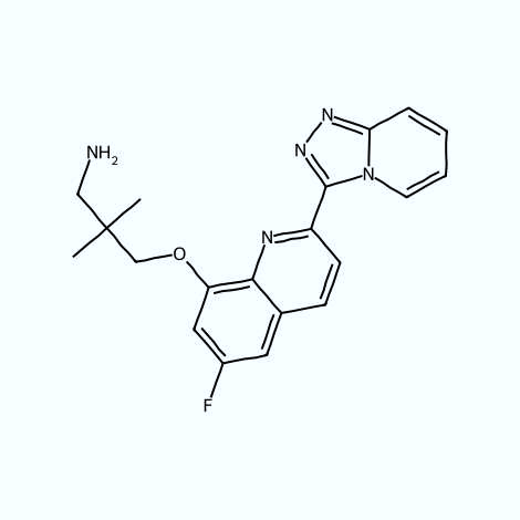 CC(C)(CN)COc1cc(F)cc2ccc(-c3nnc4ccccn34)nc12